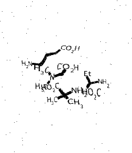 CC(C)(N)C(=O)O.CCC(N)C(=O)O.CN(C)CC(=O)O.NCCCC(=O)O